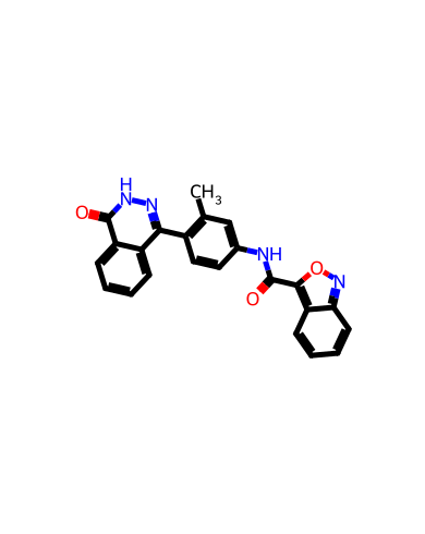 Cc1cc(NC(=O)c2onc3ccccc23)ccc1-c1n[nH]c(=O)c2ccccc12